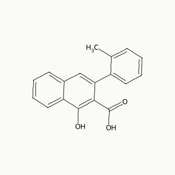 Cc1ccccc1-c1cc2ccccc2c(O)c1C(=O)O